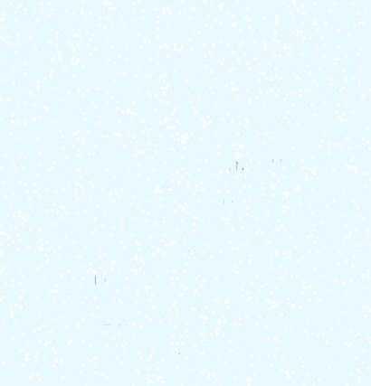 CC1(C)c2ccccc2-c2cc(-c3c([N+](=O)[O-])c4ccccc4c4ccccc34)ccc21